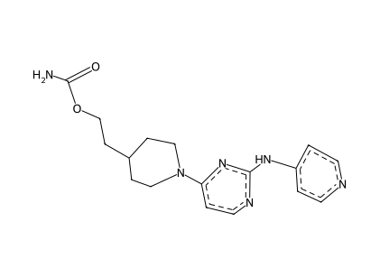 NC(=O)OCCC1CCN(c2ccnc(Nc3ccncc3)n2)CC1